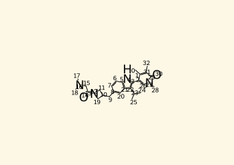 Cc1c(-c2[nH]c3ccc(CC4CN(C(=O)CN(C)C)C4)cc3c2C(C)C)cn(C)c(=O)c1C